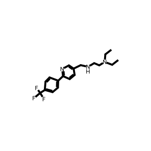 CCN(CC)CCNCc1ccc(-c2ccc(C(F)(F)F)cc2)nc1